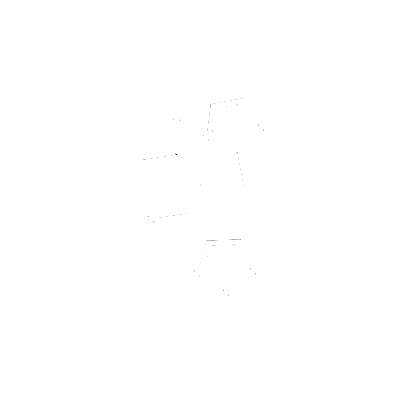 COC1(n2ccnc2C)C=CNC(c2c[nH]nn2)=N1